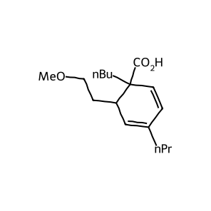 CCCCC1(C(=O)O)C=CC(CCC)=CC1CCOC